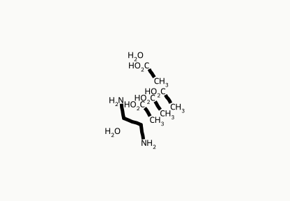 CC(=O)O.CC(=O)O.CC(=O)O.CC(=O)O.NCCN.O.O